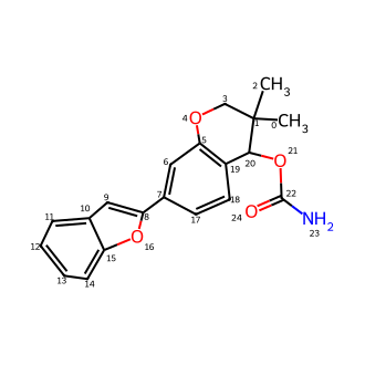 CC1(C)COc2cc(-c3cc4ccccc4o3)ccc2C1OC(N)=O